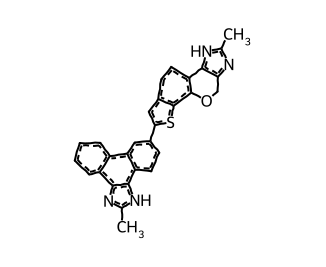 Cc1nc2c([nH]1)-c1ccc3cc(-c4ccc5c(c4)c4ccccc4c4nc(C)[nH]c54)sc3c1OC2